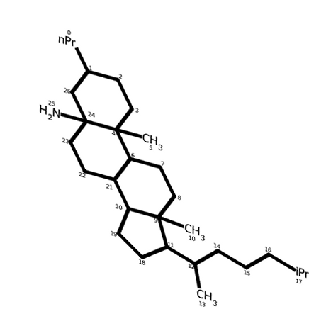 CCCC1CCC2(C)C3CCC4(C)C(C(C)CCCC(C)C)CCC4C3CCC2(N)C1